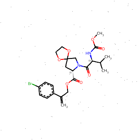 C=C(COC(=O)[C@@H]1CC2(CN1C(=O)[C@@H](NC(=O)OC)C(C)C)OCCO2)c1ccc(Br)cc1